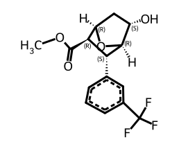 COC(=O)[C@@H]1[C@@H](c2cccc(C(F)(F)F)c2)[C@H]2O[C@@H]1C[C@@H]2O